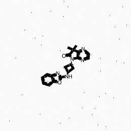 CC1(C)C(=O)N([C@H]2C[C@H](Nc3nc4ccccc4o3)C2)c2nccnc21